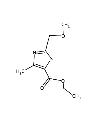 CCOC(=O)c1sc(COC)nc1C